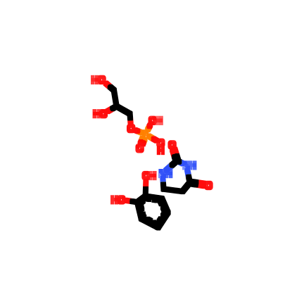 O=C1CCNC(=O)N1.O=P(O)(O)OCC(O)CO.Oc1ccccc1O